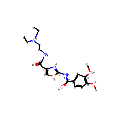 CCN(CC)CCNC(=O)c1csc(NC(=O)c2ccc(OC)c(OC)c2)n1